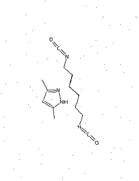 Cc1cc(C)[nH]n1.O=C=NCCCCCCN=C=O